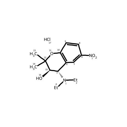 CCN(CC)[C@H]1c2cc([N+](=O)[O-])ccc2OC(C)(C)[C@@H]1O.Cl